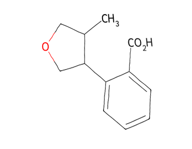 CC1COCC1c1ccccc1C(=O)O